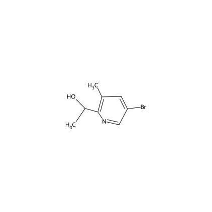 Cc1cc(Br)cnc1C(C)O